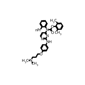 CCCc1ccccc1N(C(=O)Oc1c(C)cccc1C)c1ccnc(Nc2ccc(OCCCN(C)C)cc2)n1